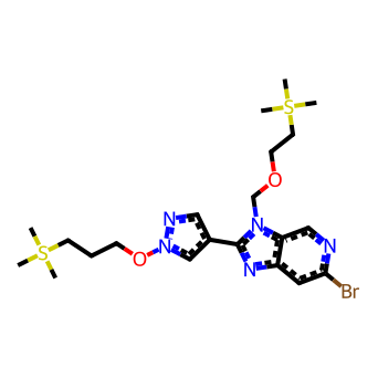 CS(C)(C)CCCOn1cc(-c2nc3cc(Br)ncc3n2COCCS(C)(C)C)cn1